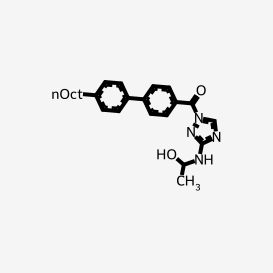 CCCCCCCCc1ccc(-c2ccc(C(=O)n3cnc(NC(C)O)n3)cc2)cc1